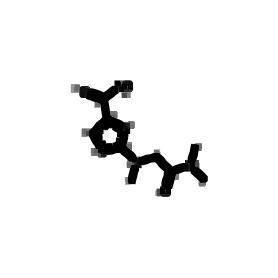 CN(C)C(=O)CN(C)c1nc(C(=O)N=O)cs1